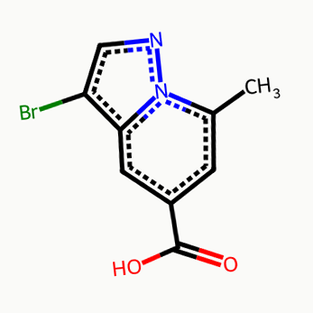 Cc1cc(C(=O)O)cc2c(Br)cnn12